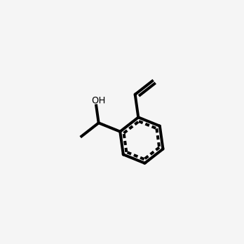 C=Cc1ccccc1C(C)O